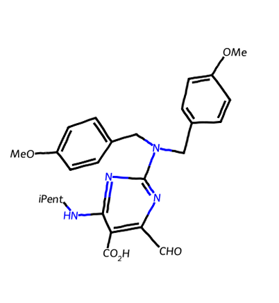 CCCC(C)Nc1nc(N(Cc2ccc(OC)cc2)Cc2ccc(OC)cc2)nc(C=O)c1C(=O)O